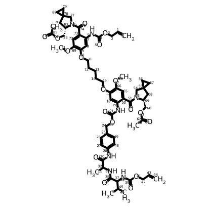 C=CCOC(=O)Nc1cc(OCCCCCOc2cc(NC(=O)OCc3ccc(NC(=O)C(C)NC(=O)C(NC(=O)OCC=C)C(C)C)cc3)c(C(=O)N3CC4(CC4)C[C@H]3COC(C)=O)cc2OC)c(OC)cc1C(=O)N1CC2(CC2)C[C@H]1COC(C)=O